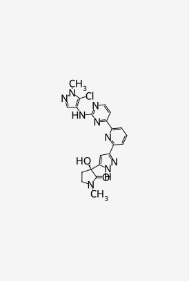 CN1CC[C@](O)(c2cc(-c3cccc(-c4ccnc(Nc5cnn(C)c5Cl)n4)n3)n[nH]2)C1=O